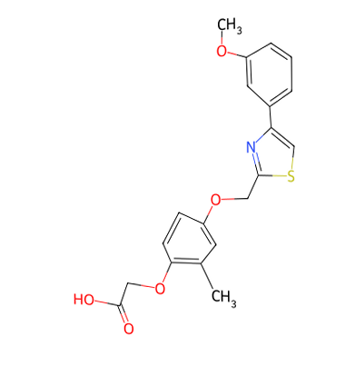 COc1cccc(-c2csc(COc3ccc(OCC(=O)O)c(C)c3)n2)c1